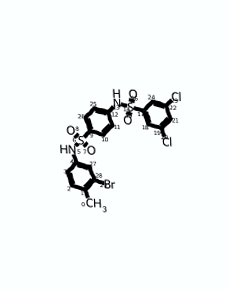 Cc1ccc(NS(=O)(=O)c2ccc(NS(=O)(=O)c3cc(Cl)cc(Cl)c3)cc2)cc1Br